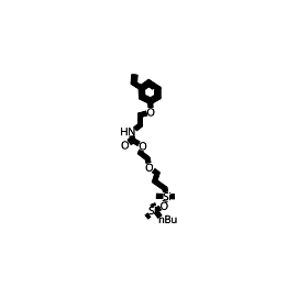 C=Cc1cccc(OCCNC(=O)OCCOCCC[Si](C)(C)O[Si](C)(C)CCCC)c1